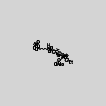 CCCCCN1C(=CC=CC2=[N+](CCOCCOC)c3ccc(CC)cc3C2(C)C)C(C)(C)c2cc(S(=O)(=O)NCCCCCC(=O)ON3C(=O)CCC3=O)ccc21